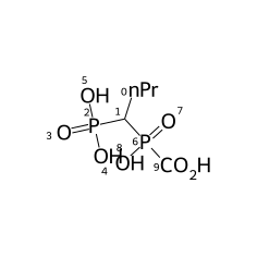 CCCC(P(=O)(O)O)P(=O)(O)C(=O)O